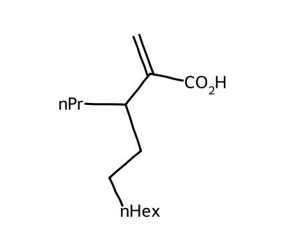 C=C(C(=O)O)C(CCC)CCCCCCCC